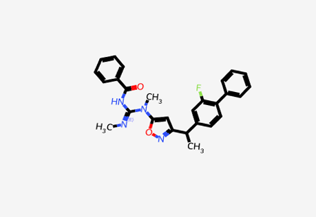 C/N=C(\NC(=O)c1ccccc1)N(C)c1cc(C(C)c2ccc(-c3ccccc3)c(F)c2)no1